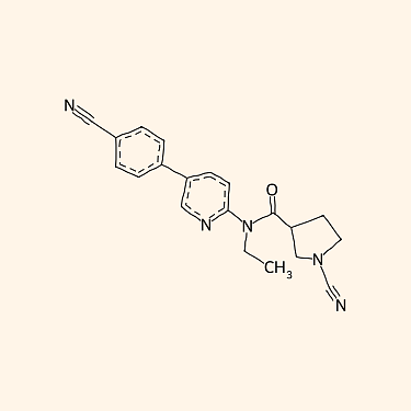 CCN(C(=O)C1CCN(C#N)C1)c1ccc(-c2ccc(C#N)cc2)cn1